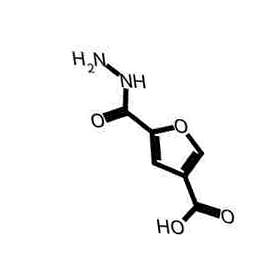 NNC(=O)c1cc(C(=O)O)co1